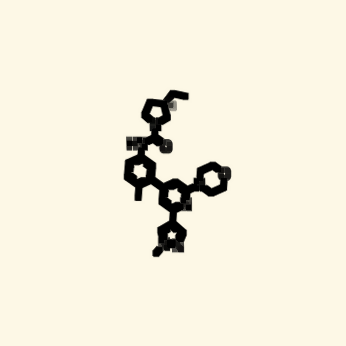 CC[C@@H]1CCN(C(=O)Nc2ccc(C)c(-c3cc(-c4cnn(C)c4)nc(N4CCOCC4)c3)c2)C1